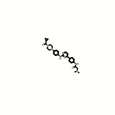 CN(C)CC(=O)Nc1ccc(-c2ccnc(Nc3ccc(N4CCN(C(=O)C5CC5)CC4)cc3)n2)cc1